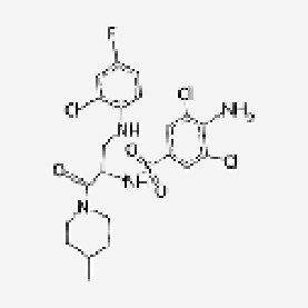 CC1CCN(C(=O)C(CNc2ccc(F)cc2Cl)NS(=O)(=O)c2cc(Cl)c(N)c(Cl)c2)CC1